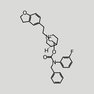 O=C(O[C@H]1C[N+]2(CCc3ccc4c(c3)CCO4)CCC1CC2)N(Cc1ccccc1)c1cccc(F)c1